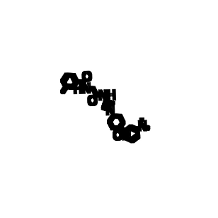 Cc1cccc(C(=O)NCC(=O)NC2CN([C@H]3CC[C@@](O)(c4cccc(N(C)C)c4)CC3)C2)c1